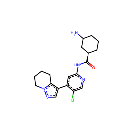 NC1CCC[C@@H](C(=O)Nc2cc(-c3cnn4c3CCCC4)c(Cl)cn2)C1